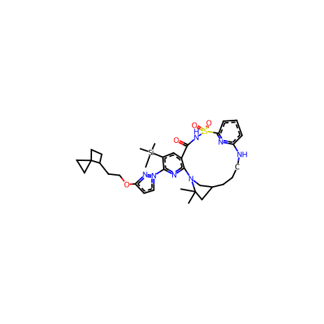 CC1(C)CC2CCCNc3cccc(n3)S(=O)(=O)NC(=O)c3cc([Si](C)(C)C)c(-n4ccc(OCCC5CCC56CC6)n4)nc3N1C2